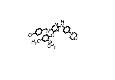 COc1cc(C)ccc1Oc1nc(Nc2ccc(N3CCOCC3)cc2)ncc1N=Cc1ccc(Cl)cc1